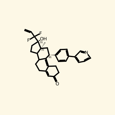 C=CC(F)(F)[C@]1(O)CCC2C3CCC4=CC(=O)CCC4=C3[C@@H](c3ccc(-c4cccnc4)cc3)C[C@@]21C